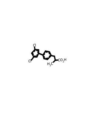 CC(Cc1ccc(-c2cc(Cl)cc(Cl)c2)cc1)C(=O)O